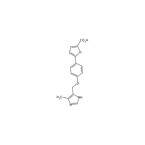 Cc1nc[nH]c1COc1ccc(-c2ccc(C(=O)O)o2)cc1